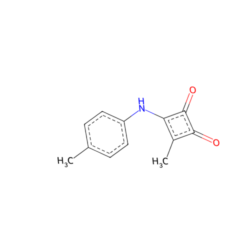 Cc1ccc(Nc2c(C)c(=O)c2=O)cc1